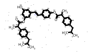 CC(C)Cc1ccc(C(C)C(=O)Oc2ccc(/C=C/c3cc(O)cc(OC(=O)C(C)c4ccc(CC(C)C)cc4)c3)cc2)cc1